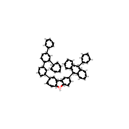 c1ccc(-c2ccc(-c3cccc(-c4ccc5oc6ccc(-c7c8ccccc8c(-c8ccccc8)c8ccccc78)cc6c5c4)c3)c(-c3ccccc3)c2)cc1